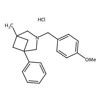 COc1ccc(CN2CC3(C)CC(c4ccccc4)(C2)C3)cc1.Cl